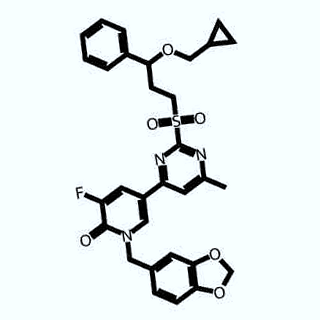 Cc1cc(-c2cc(F)c(=O)n(Cc3ccc4c(c3)OCO4)c2)nc(S(=O)(=O)CCC(OCC2CC2)c2ccccc2)n1